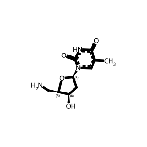 Cc1cn([C@H]2C[C@@H](O)[C@@H](CN)O2)c(=O)[nH]c1=O